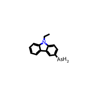 CCn1c2ccccc2c2cc([AsH2])ccc21